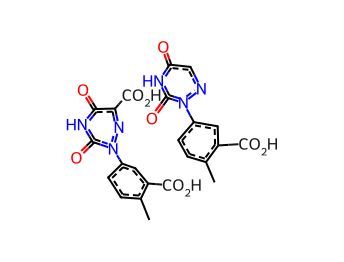 Cc1ccc(-n2nc(C(=O)O)c(=O)[nH]c2=O)cc1C(=O)O.Cc1ccc(-n2ncc(=O)[nH]c2=O)cc1C(=O)O